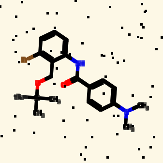 CN(C)c1ccc(C(=O)Nc2cccc(Br)c2CO[Si](C)(C)C(C)(C)C)cc1